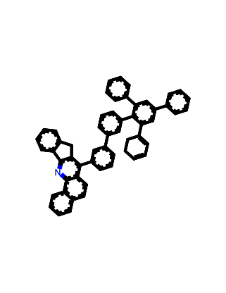 C1=CCCC(c2cc(-c3ccccc3)cc(-c3ccccc3)c2-c2cccc(-c3cccc(-c4c5c(nc6c4ccc4ccccc46)-c4ccccc4C5)c3)c2)=C1